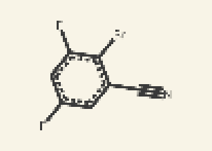 N#Cc1cc(F)cc(F)c1Br